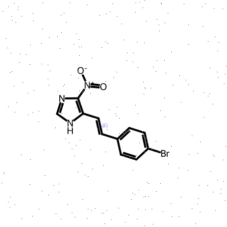 O=[N+]([O-])c1nc[nH]c1/C=C/c1ccc(Br)cc1